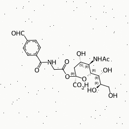 CC(=O)N[C@H]1[C@H]([C@H](O)[C@H](O)CO)O[C@](OC(=O)CNC(=O)c2ccc(C=O)cc2)(C(=O)O)C[C@@H]1O